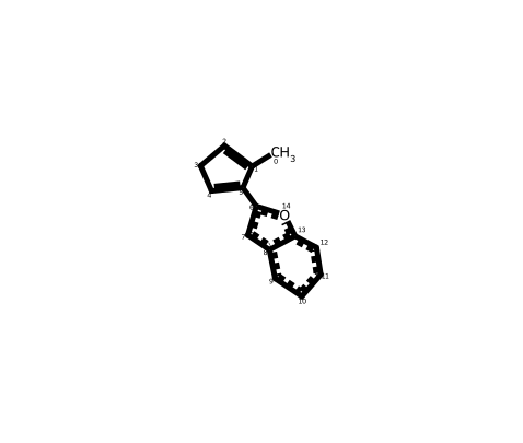 CC1=[C]CC=C1c1cc2ccccc2o1